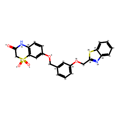 O=C1CS(=O)(=O)c2cc(OCc3cccc(OCc4nc5ccccc5s4)c3)ccc2N1